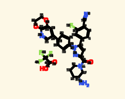 N#Cc1ccc(-c2cc(C(=O)N3CCC[C@@H](N)C3)nn2-c2ccc(-c3cnc4c(c3)OCCO4)cc2)cc1F.O=C(O)C(F)(F)F